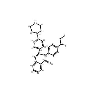 CCC(C)c1ccc(-n2c(-c3ccc(N4CCOCC4)nc3)nc3ccccc3c2=O)cc1